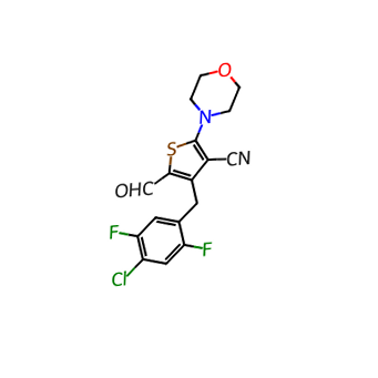 N#Cc1c(N2CCOCC2)sc(C=O)c1Cc1cc(F)c(Cl)cc1F